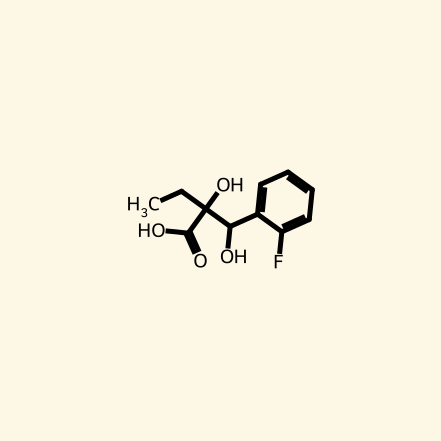 CCC(O)(C(=O)O)C(O)c1ccccc1F